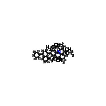 CC1(C)c2cccc3c2N2c4c1cccc4C(C)(C)c1cc(-c4ccc(-c5ccccc5)c5ccccc45)cc(c12)C3(C)C